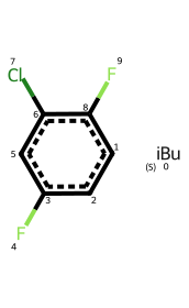 CC[C@H](C)c1cc(F)cc(Cl)c1F